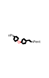 CCCCCC=Cc1ccc(Oc2ccc(CCC)cc2)cc1